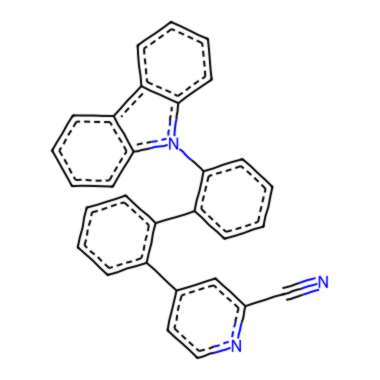 N#Cc1cc(-c2ccccc2-c2ccccc2-n2c3ccccc3c3ccccc32)ccn1